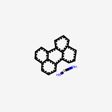 N=[Si]=N.c1cc2cccc3c4cccc5cccc(c(c1)c23)c54